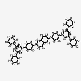 c1ccc(-c2cc(-c3ccc(-c4ccc5cc(-c6ccc(-c7nc(-c8ccccc8)nc(-c8ccccc8)n7)cc6)ccc5c4)cc3)cc(-c3ccccc3)n2)cc1